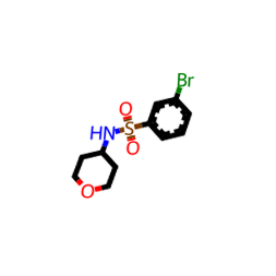 O=S(=O)(NC1CCOCC1)c1cccc(Br)c1